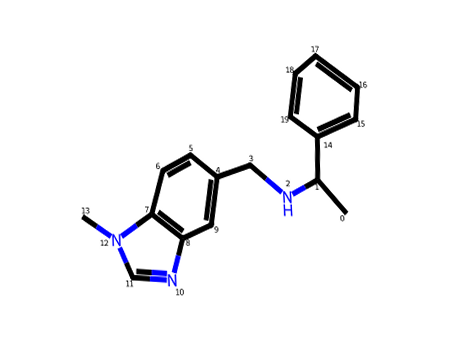 CC(NCc1ccc2c(c1)ncn2C)c1ccccc1